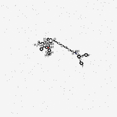 NC(=O)CCC(NC(=O)[C@@H]1CCC2CCN(C(=O)CCCOCCOCCOCCOCCNC/C(O)=C/Oc3ccc(OCc4ccc(F)cc4)c(OCc4ccc(F)cc4)c3)C[C@H](NC(=O)c3cc4cc(C(F)(F)P(=O)(O)O)ccc4[nH]3)C(=O)N21)C(=O)NC(c1ccccc1)c1ccccc1